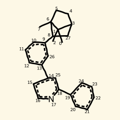 CC1(C)C2CCC1(C)C(c1cccc(-c3ccnc(-c4ccccc4)c3)c1)C2